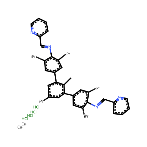 Cc1c(-c2cc(C(C)C)c(N=Cc3ccccn3)c(C(C)C)c2)cc(C(C)C)cc1-c1cc(C(C)C)c(N=Cc2ccccn2)c(C(C)C)c1.Cl.Cl.Cl.Cl.[Cu].[Cu]